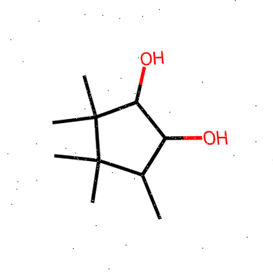 CC1C(O)C(O)C(C)(C)C1(C)C